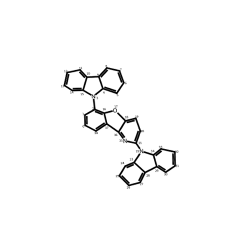 c1cc(-n2c3ccccc3c3ccccc32)c2oc3ccc(-n4c5ccccc5c5ccccc54)nc3c2c1